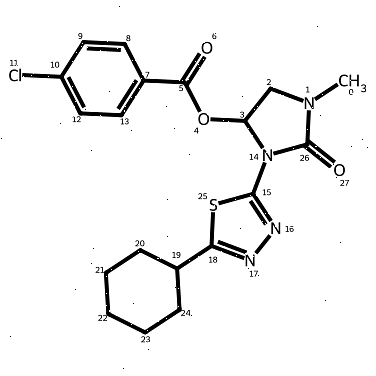 CN1CC(OC(=O)c2ccc(Cl)cc2)N(c2nnc(C3CCCCC3)s2)C1=O